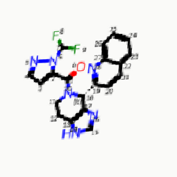 O=C(c1ccnn1C(F)F)N1CCc2[nH]cnc2[C@H]1c1ccc2ccccc2n1